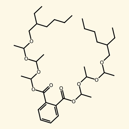 CCCCC(CC)COC(C)OC(C)OC(C)OC(=O)c1ccccc1C(=O)OC(C)OC(C)OC(C)OCC(CC)CCCC